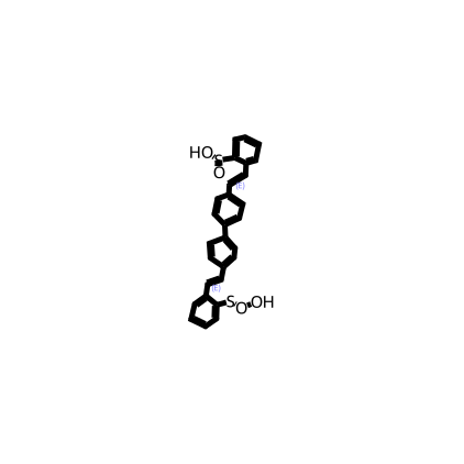 O=S(O)c1ccccc1/C=C/c1ccc(-c2ccc(/C=C/c3ccccc3SOO)cc2)cc1